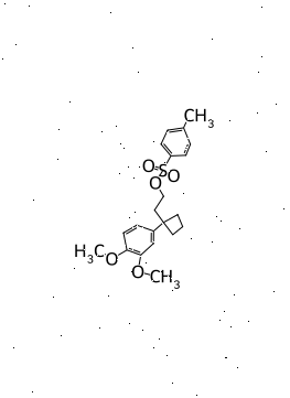 COc1ccc(C2(CCOS(=O)(=O)c3ccc(C)cc3)CCC2)cc1OC